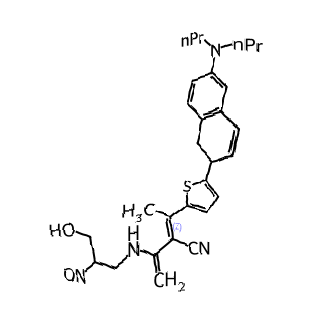 C=C(NCC(CO)N=O)/C(C#N)=C(\C)c1ccc(C2C=Cc3cc(N(CCC)CCC)ccc3C2)s1